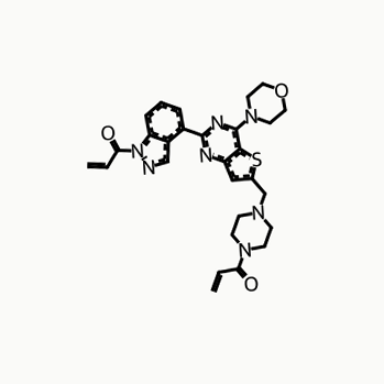 C=CC(=O)N1CCN(Cc2cc3nc(-c4cccc5c4cnn5C(=O)C=C)nc(N4CCOCC4)c3s2)CC1